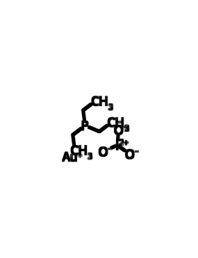 CCP(CC)CC.[Au+].[O-][I+2]([O-])[O-]